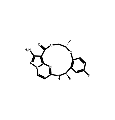 C[C@H]1COC(=O)c2c(N)nn3ccc(nc23)N[C@H](C)c2cc(F)ccc2O1